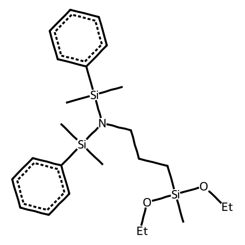 CCO[Si](C)(CCCN([Si](C)(C)c1ccccc1)[Si](C)(C)c1ccccc1)OCC